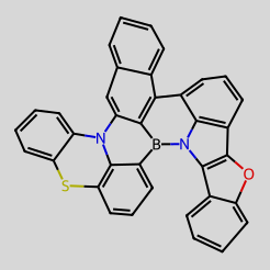 c1ccc2c(c1)Sc1cccc3c1N2c1cc2ccccc2c2c1B3n1c3c-2cccc3c2oc3ccccc3c21